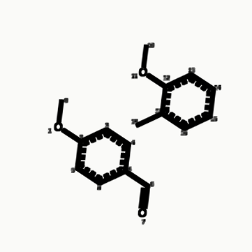 COc1ccc(C=O)cc1.COc1ccccc1C